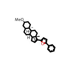 CO[C@H]1CC[C@]2(C)C(CC[C@@H]3[C@@H]4CC=C(c5ccc(-c6ccccc6)o5)[C@@]4(C)CC[C@@H]32)C1